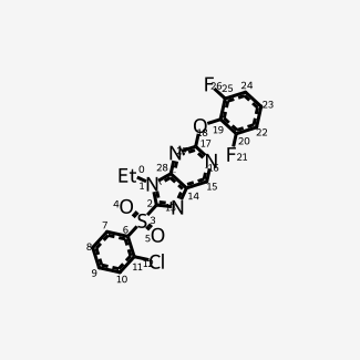 CCn1c(S(=O)(=O)c2ccccc2Cl)nc2cnc(Oc3c(F)cccc3F)nc21